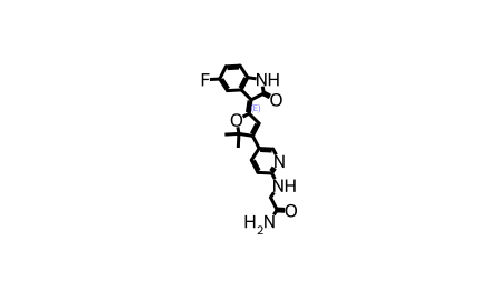 CC1(C)O/C(=C2/C(=O)Nc3ccc(F)cc32)C=C1c1ccc(NCC(N)=O)nc1